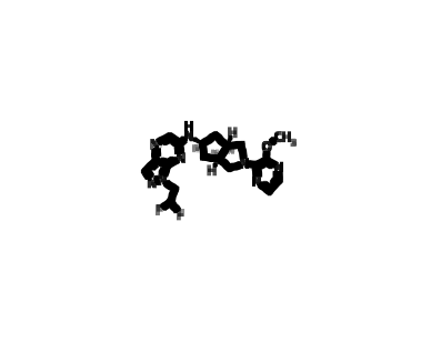 COc1nccnc1N1C[C@H]2C[C@H](Nc3cnc4cnn(CC(F)F)c4n3)C[C@H]2C1